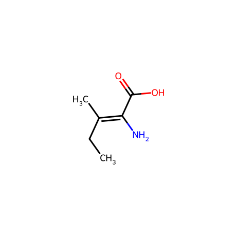 CCC(C)=C(N)C(=O)O